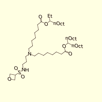 CCCCCCCCC(CC)OC(=O)CCCCCCCN(CCCCCCCC(=O)OC(CCCCCCCC)CCCCCCCC)CCCNS(=O)(=O)C1COC1